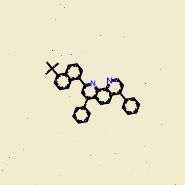 CC(C)(C)c1cccc2c(-c3cc(-c4ccccc4)c4ccc5c(-c6ccccc6)ccnc5c4n3)cccc12